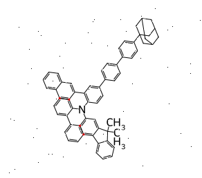 CC1(C)c2ccccc2-c2ccc(N(c3ccccc3-c3ccccc3)c3ccc(-c4ccc(-c5ccc(C67CC8CC(CC(C8)C6)C7)cc5)cc4)cc3-c3ccc4ccccc4c3)cc21